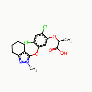 C[C@H](Oc1cc(Oc2c3c(nn2C)CCCC3)c(Cl)cc1Cl)C(=O)O